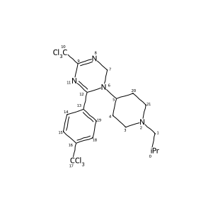 CC(C)CN1CCC(N2CN=C(C(Cl)(Cl)Cl)N=C2c2ccc(C(Cl)(Cl)Cl)cc2)CC1